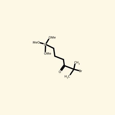 CO[Si](CCCC(=O)C(C)(C)Br)(OC)OC